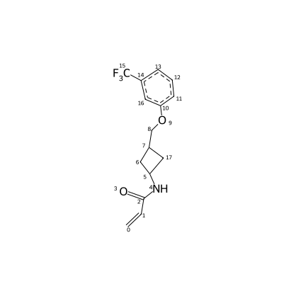 C=CC(=O)NC1CC(COc2cccc(C(F)(F)F)c2)C1